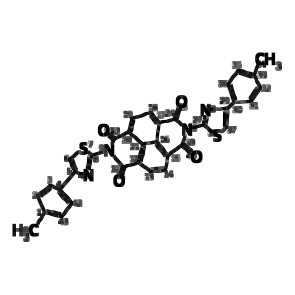 Cc1ccc(-c2csc(N3C(=O)c4ccc5c6c(ccc(c46)C3=O)C(=O)N(c3nc(-c4ccc(C)cc4)cs3)C5=O)n2)cc1